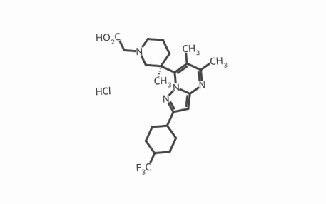 Cc1nc2cc(C3CCC(C(F)(F)F)CC3)nn2c([C@]2(C)CCCN(CC(=O)O)C2)c1C.Cl